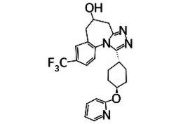 OC1Cc2cc(C(F)(F)F)ccc2-n2c(nnc2[C@H]2CC[C@H](Oc3ccccn3)CC2)C1